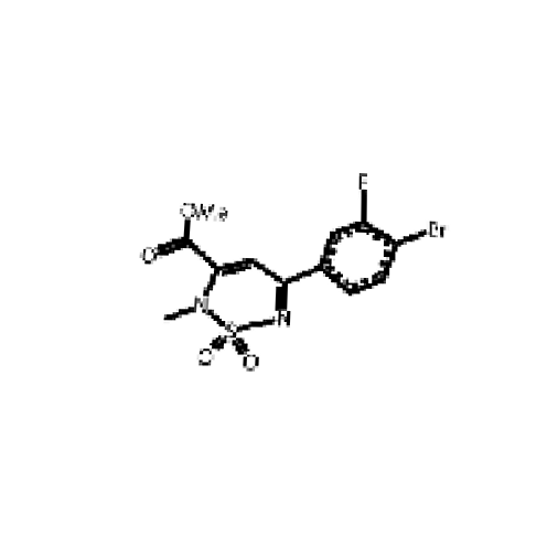 COC(=O)C1=CC(c2ccc(Br)c(F)c2)=NS(=O)(=O)N1C